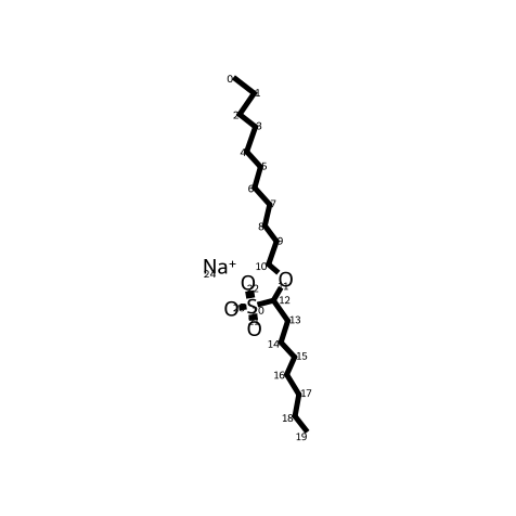 CCCCCCCCCCCOC(CCCCCCC)S(=O)(=O)[O-].[Na+]